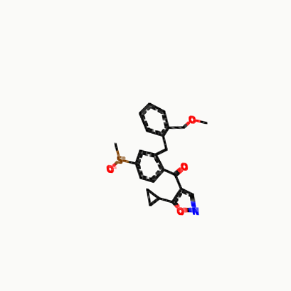 COCc1ccccc1Cc1cc([S+](C)[O-])ccc1C(=O)c1cnoc1C1CC1